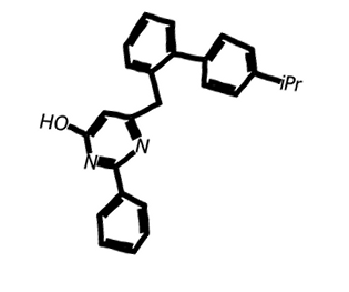 CC(C)c1ccc(-c2ccccc2Cc2cc(O)nc(-c3ccccc3)n2)cc1